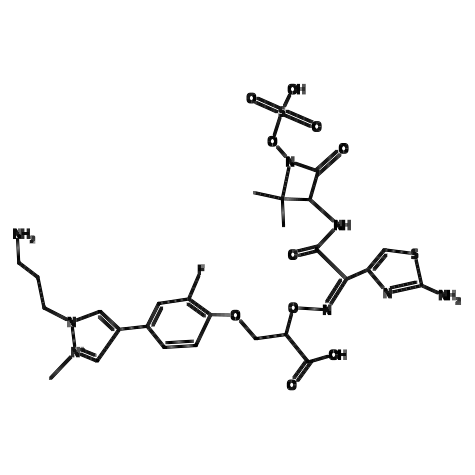 C[n+]1cc(-c2ccc(OCC(ON=C(C(=O)NC3C(=O)N(OS(=O)(=O)O)C3(C)C)c3csc(N)n3)C(=O)O)c(F)c2)cn1CCCN